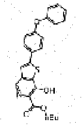 CCCCOC(=O)c1ncc2cc(-c3ccc(Oc4ccccc4)cc3)sc2c1O